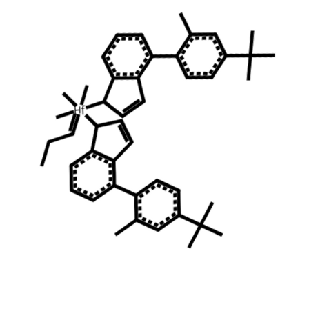 CC[CH]=[Hf]([CH3])([CH3])([CH3])([CH]1C=Cc2c(-c3ccc(C(C)(C)C)cc3C)cccc21)[CH]1C=Cc2c(-c3ccc(C(C)(C)C)cc3C)cccc21